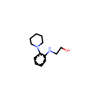 OCCNc1ccc[c]c1N1CCCCC1